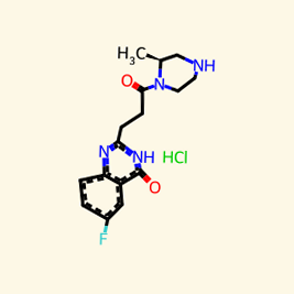 C[C@H]1CNCCN1C(=O)CCc1nc2ccc(F)cc2c(=O)[nH]1.Cl